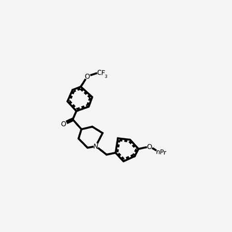 CCCOc1ccc(CN2CCC(C(=O)c3ccc(OC(F)(F)F)cc3)CC2)cc1